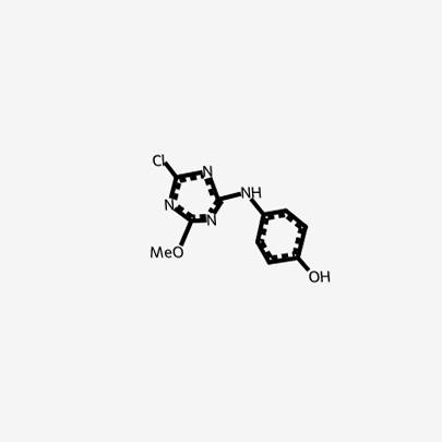 COc1nc(Cl)nc(Nc2ccc(O)cc2)n1